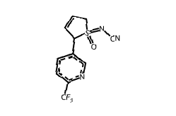 N#CN=S1(=O)CC=CC1c1ccc(C(F)(F)F)nc1